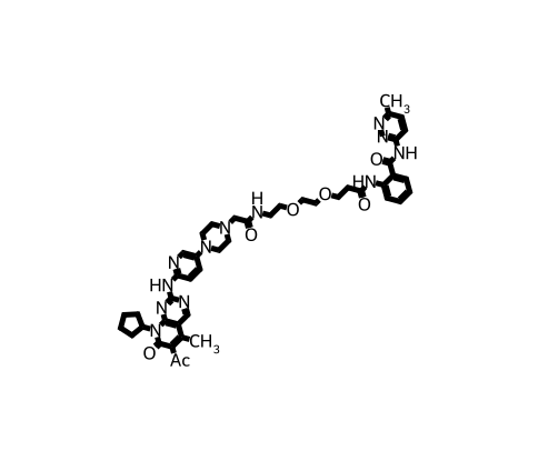 CC(=O)c1c(C)c2cnc(Nc3ccc(N4CCN(CC(=O)NCCOCCOCCC(=O)Nc5ccccc5C(=O)Nc5ccc(C)nn5)CC4)cn3)nc2n(C2CCCC2)c1=O